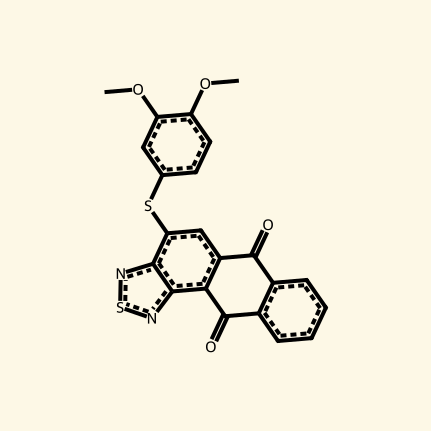 COc1ccc(Sc2cc3c(c4nsnc24)C(=O)c2ccccc2C3=O)cc1OC